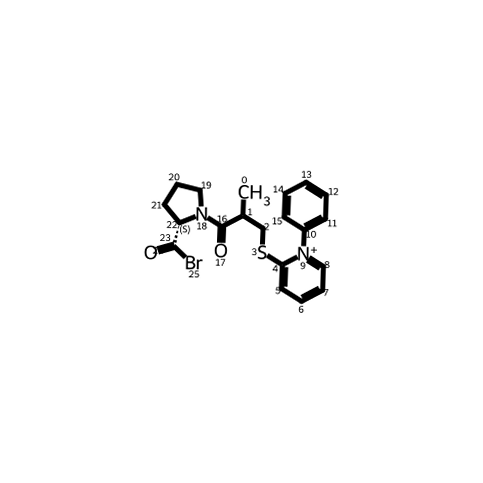 CC(CSc1cccc[n+]1-c1ccccc1)C(=O)N1CCC[C@H]1C(=O)Br